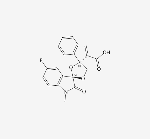 C=C(C(=O)O)[C@]1(c2ccccc2)CO[C@@]2(O1)C(=O)N(C)c1ccc(F)cc12